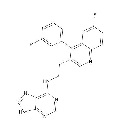 Fc1cccc(-c2c(CCNc3ncnc4[nH]cnc34)cnc3ccc(F)cc23)c1